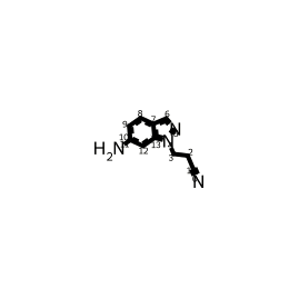 N#CCCn1ncc2ccc(N)cc21